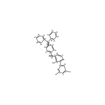 Cc1cc(C)cc(-c2cccc(Nc3ccc([SiH](c4ccccc4)c4ccccc4)cc3)c2C)c1